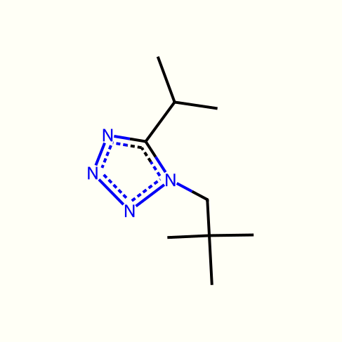 CC(C)c1nnnn1CC(C)(C)C